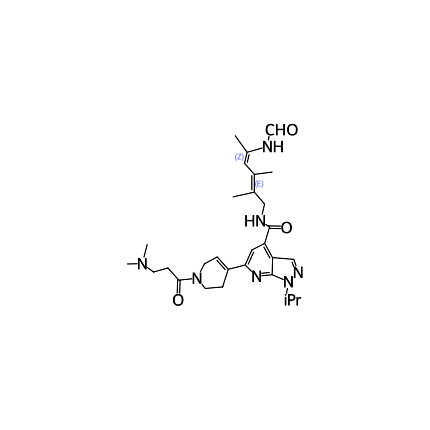 C/C(=C/C(C)=C(\C)CNC(=O)c1cc(C2=CCN(C(=O)CCN(C)C)CC2)nc2c1cnn2C(C)C)NC=O